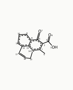 Cc1c(C(=O)O)c(=O)c2cccc3c2n1CC=C3